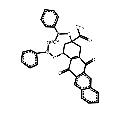 CC(=O)[C@]1(OB(O)c2ccccc2)CC2=C(C(=O)c3cc4ccccc4cc3C2=O)[C@@H](OB(O)c2ccccc2)C1